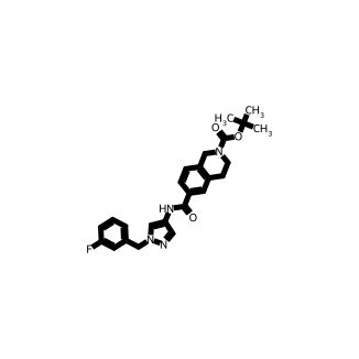 CC(C)(C)OC(=O)N1CCc2cc(C(=O)Nc3cnn(Cc4cccc(F)c4)c3)ccc2C1